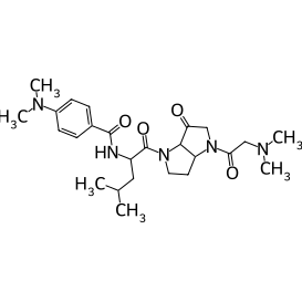 CC(C)CC(NC(=O)c1ccc(N(C)C)cc1)C(=O)N1CCC2C1C(=O)CN2C(=O)CN(C)C